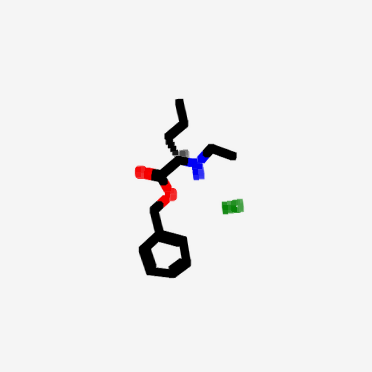 CCC[C@H](NCC)C(=O)OCc1ccccc1.Cl